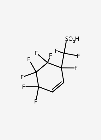 O=S(=O)(O)C(F)(F)C1(F)C=CC(F)(F)C(F)(F)C1(F)F